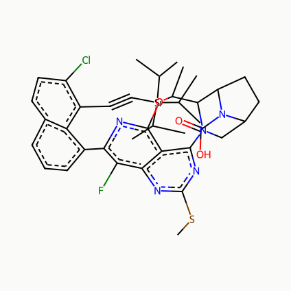 CSc1nc2c3c(nc(-c4cccc5ccc(Cl)c(C#C[Si](C(C)C)(C(C)C)C(C)C)c45)c(F)c3n1)OC(C)C1C3CCC(CN21)N3C(=O)O